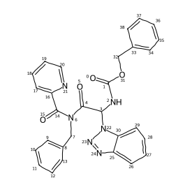 O=C(NC(C(=O)N(Cc1ccccc1)C(=O)c1ccccn1)n1nnc2ccccc21)OCc1ccccc1